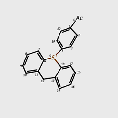 CC(=O)c1ccc([S+]2c3ccccc3Cc3ccccc32)cc1